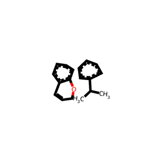 C1=Cc2ccccc2OC1.CC(C)c1ccccc1